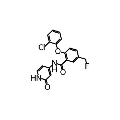 O=C(Nc1cc[nH]c(=O)c1)c1cc(CF)ccc1Oc1ccccc1Cl